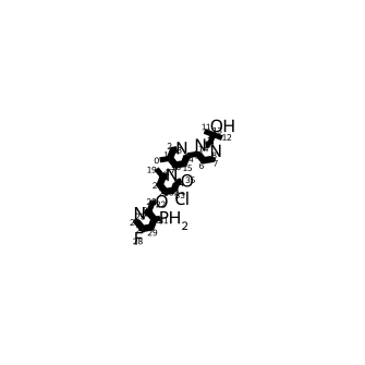 Cc1cnc(-c2ccnc(C(C)(C)O)n2)cc1-n1c(C)cc(OCc2ncc(F)cc2P)c(Cl)c1=O